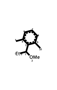 C[C]C(OC)c1c(C)cccc1C